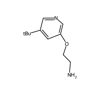 CC(C)(C)c1cncc(OCCN)c1